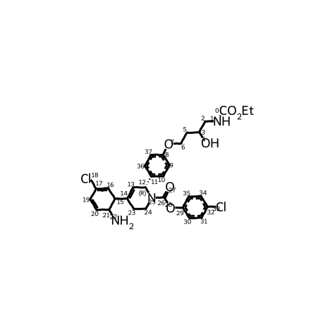 CCOC(=O)NCC(O)CCOc1ccc([C@H]2C=C(C3C=C(Cl)C=CC3N)CCN2C(=O)Oc2ccc(Cl)cc2)cc1